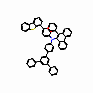 c1ccc(-c2cc(-c3ccccc3)cc(-c3ccc(N(c4ccc(-c5cccc6c5sc5ccccc56)cc4)c4c(-c5ccccc5)c5ccccc5c5ccccc45)cc3)c2)cc1